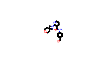 O=Cc1ccc(NC(=O)c2cccnc2N2CC3(CCOCC3)C2)cc1